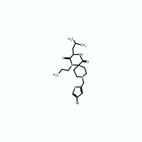 CCCN1C(=O)C(CC(C)C)NC(=O)C12CCN(Cc1cc(Br)cs1)CC2